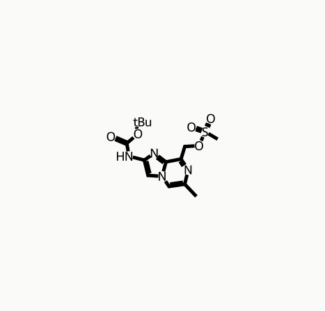 Cc1cn2cc(NC(=O)OC(C)(C)C)nc2c(COS(C)(=O)=O)n1